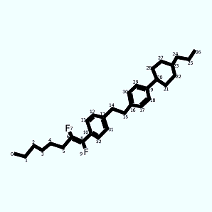 CCCCCCC(F)=C(F)c1ccc(CCc2ccc(C3CCC(CCC)CC3)cc2)cc1